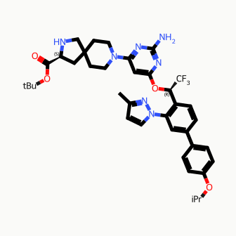 Cc1ccn(-c2cc(-c3ccc(OC(C)C)cc3)ccc2[C@@H](Oc2cc(N3CCC4(CC3)CN[C@H](C(=O)OC(C)(C)C)C4)nc(N)n2)C(F)(F)F)n1